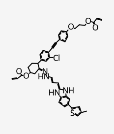 C=CC(=O)OCCCOc1ccc(C#Cc2ccc(C3CCC(OC(=O)C=C)C/C3=N\N/C=C/C=C3\Nc4ccc(-c5cc(C)cs5)cc4N3)cc2Cl)cc1